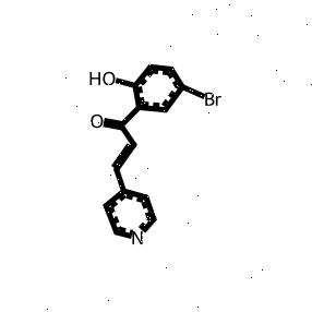 O=C(/C=C/c1ccncc1)c1cc(Br)ccc1O